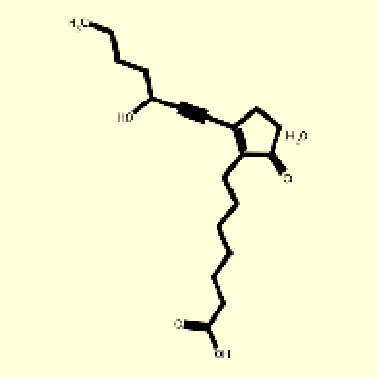 CCCCC(O)C#CC1=C(CCCCCCC(=O)O)C(=O)CC1.O